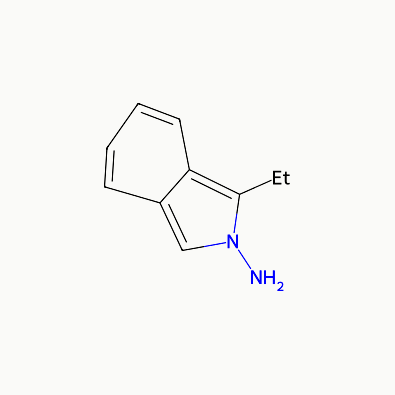 CCc1c2ccccc2cn1N